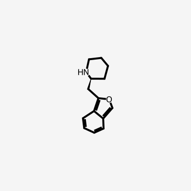 c1ccc2c(C[C@@H]3CCCCN3)occ2c1